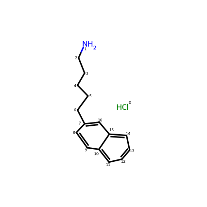 Cl.NCCCCCc1ccc2ccccc2c1